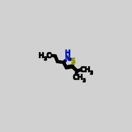 CCCC1C=C(C(C)C)SN1